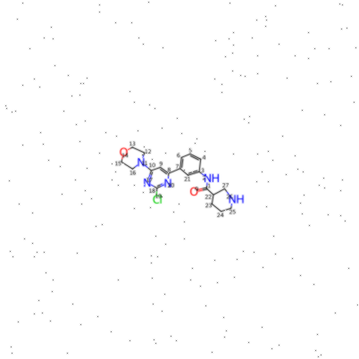 O=C(Nc1cccc(-c2cc(N3CCOCC3)nc(Cl)n2)c1)C1CCCNC1